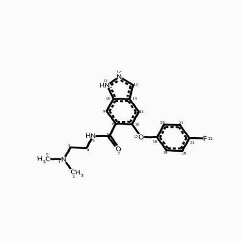 CN(C)CCNC(=O)c1cc2[nH]ncc2cc1Oc1ccc(F)cc1